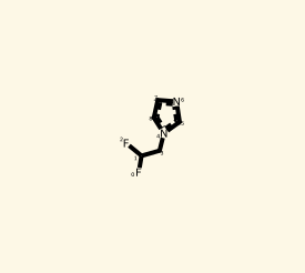 FC(F)Cn1[c]n[c]c1